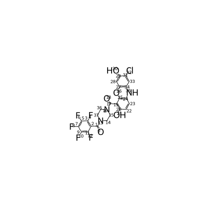 O=C(c1c(F)c(F)c(F)c(F)c1F)N1CCN(C(=O)c2c(O)ccc3c2Oc2cc(O)c(Cl)cc2N3)CC1